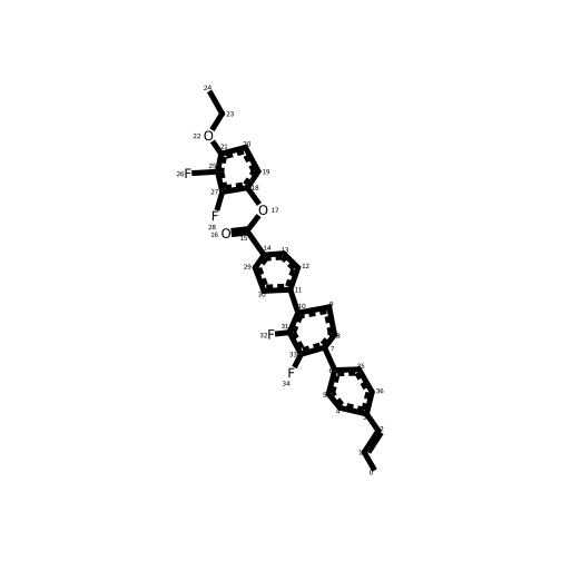 C/C=C/c1ccc(-c2ccc(-c3ccc(C(=O)Oc4ccc(OCC)c(F)c4F)cc3)c(F)c2F)cc1